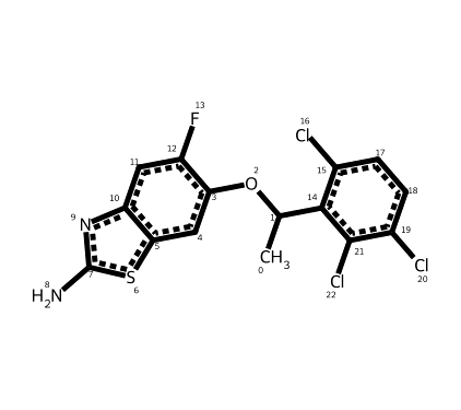 CC(Oc1cc2sc(N)nc2cc1F)c1c(Cl)ccc(Cl)c1Cl